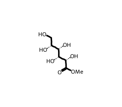 COC(=O)[C@@H](O)[C@H](O)[C@@H](O)[C@H](O)CO